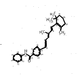 CC1=C(/C=C/C(C)=C/C=C/c2ccc(C(=O)Nc3ccccc3)cc2)C(C)(C)CCC1